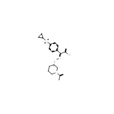 CC(=O)N1CCC[C@@H](O/N=C(/C(N)=O)c2ccc(S(=O)(=O)C3CC3)cc2)C1